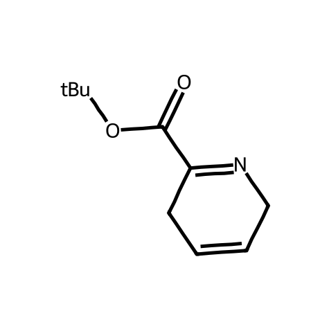 CC(C)(C)OC(=O)C1=NCC=CC1